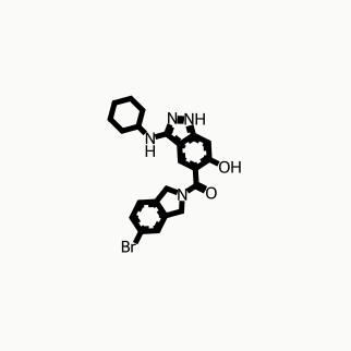 O=C(c1cc2c(NC3CCCCC3)n[nH]c2cc1O)N1Cc2ccc(Br)cc2C1